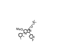 COc1cc2c(nc1-c1cccc(C)c1C)c(-c1ccc(F)nc1)nn2COCC[Si](C)(C)C